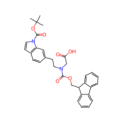 CC(C)(C)OC(=O)n1ccc2ccc(CCN(CC(=O)O)C(=O)OCC3c4ccccc4-c4ccccc43)cc21